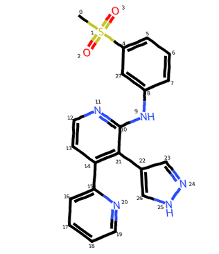 CS(=O)(=O)c1cccc(Nc2nccc(-c3ccccn3)c2-c2cn[nH]c2)c1